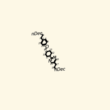 CCCCCCCCCCCCc1ccc(OC[C@H]2CC[C@H](c3ncc(CCCCCCCCCCCC)cn3)CC2)cc1